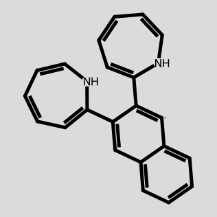 [c]1c(C2=CC=CC=CN2)c(C2=CC=CC=CN2)cc2ccccc12